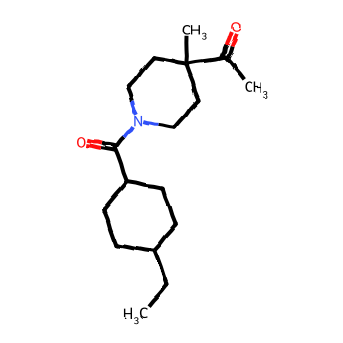 CCC1CCC(C(=O)N2CCC(C)(C(C)=O)CC2)CC1